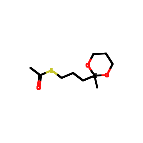 CC(=O)SCCC[Si]1(C)OCCCO1